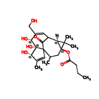 CCCC(=O)O[C@@]12CC(C)C34C=C(C)[C@H](O)[C@@]3(O)[C@H](O)C(CO)=CC(C4=O)[C@H]1C2(C)C